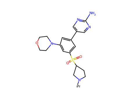 CC(C)N1CCC(S(=O)(=O)c2cc(-c3cnc(N)nc3)cc(N3CCOCC3)c2)C1